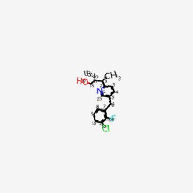 CC(c1ccc(Cc2cccc(Cl)c2F)cn1)[C@H](CO)C(C)(C)C